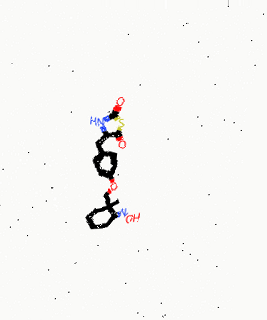 CC1(COc2ccc(CC3NC(=O)SC3=O)cc2)CCCCC1=NO